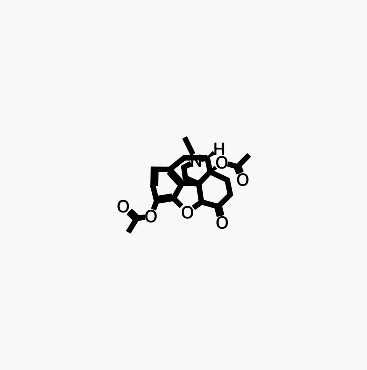 CC(=O)Oc1ccc2c3c1OC1C(=O)CC[C@@]4(OC(C)=O)[C@@H](C2)N(C)CCC314